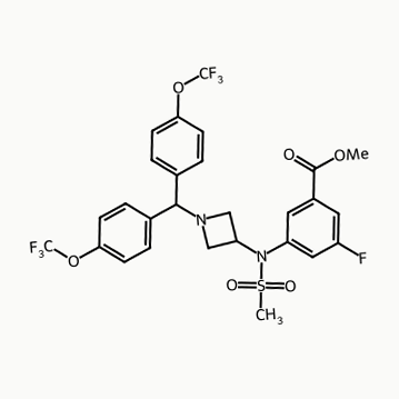 COC(=O)c1cc(F)cc(N(C2CN(C(c3ccc(OC(F)(F)F)cc3)c3ccc(OC(F)(F)F)cc3)C2)S(C)(=O)=O)c1